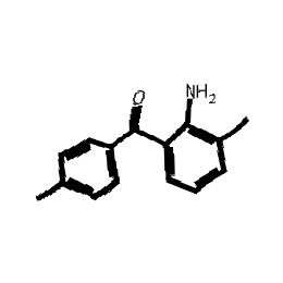 Cc1ccc(C(=O)c2cccc(C)c2N)cc1